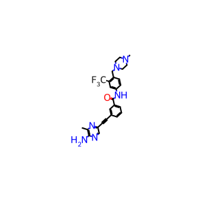 Cc1nc(C#Cc2cccc(C(=O)Nc3ccc(CN4CCN(C)CC4)c(C(F)(F)F)c3)c2)cnc1N